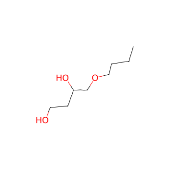 CCCCOCC(O)CCO